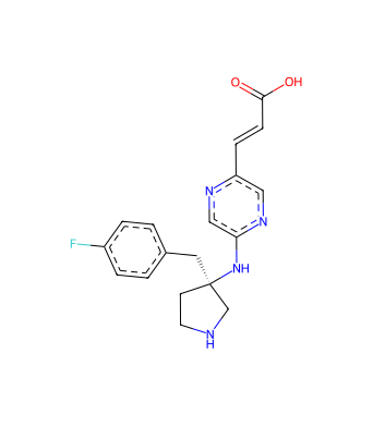 O=C(O)/C=C/c1cnc(N[C@]2(Cc3ccc(F)cc3)CCNC2)cn1